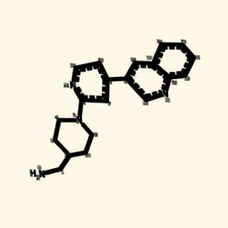 NCC1CCN(c2cc(-c3cnc4ccccc4c3)ccn2)CC1